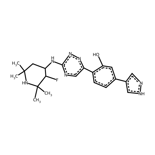 CC1(C)CC(Nc2ncc(-c3ccc(-c4cn[nH]c4)cc3O)nn2)C(F)C(C)(C)N1